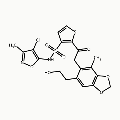 Cc1noc(NS(=O)(=O)c2ccsc2C(=O)Cc2c(CCO)cc3c(c2C)OCO3)c1Cl